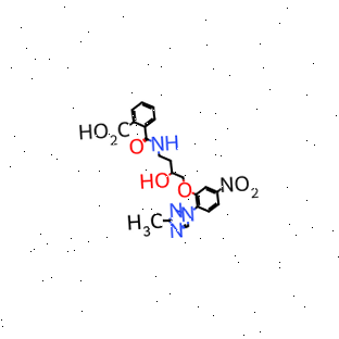 Cc1ncn(-c2ccc([N+](=O)[O-])cc2OCC(O)CCNC(=O)c2ccccc2C(=O)O)n1